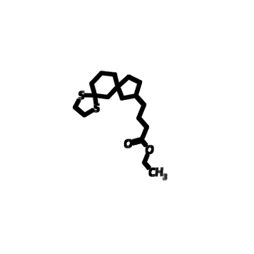 CCOC(=O)CCCC1CCC2(CCCC3(C2)SCCS3)C1